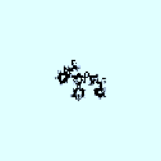 O=C(c1ccccn1)N1CC(Oc2cc(-n3c(C(F)F)nc4ccccc43)nc(N3CCOCC3)n2)C1